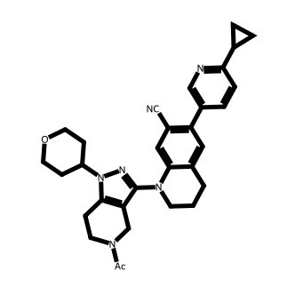 CC(=O)N1CCc2c(c(N3CCCc4cc(-c5ccc(C6CC6)nc5)c(C#N)cc43)nn2C2CCOCC2)C1